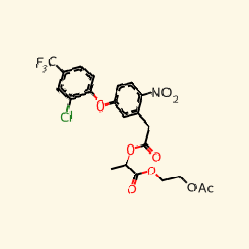 CC(=O)OCCOC(=O)C(C)OC(=O)Cc1cc(Oc2ccc(C(F)(F)F)cc2Cl)ccc1[N+](=O)[O-]